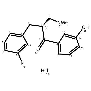 CNC[C@H](Cc1cccc(F)c1)C(=O)c1cccc(O)c1.Cl